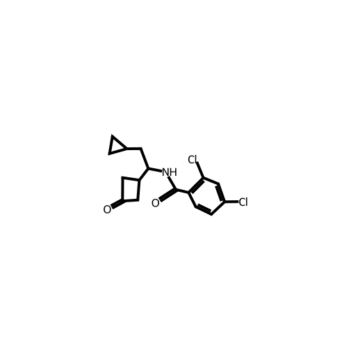 O=C1CC(C(CC2CC2)NC(=O)c2ccc(Cl)cc2Cl)C1